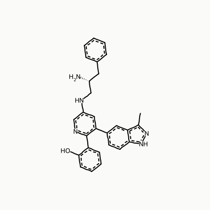 Cc1n[nH]c2ccc(-c3cc(NC[C@H](N)Cc4ccccc4)cnc3-c3ccccc3O)cc12